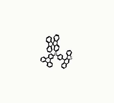 c1ccc2c(c1)-c1ccccc1C21c2ccccc2-c2ccc(N(c3ccc(-c4c5ccccc5cc5sc6ccccc6c45)cc3)c3ccc4c5ccccc5c5ccccc5c4c3)cc21